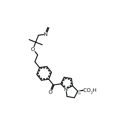 C=NCC(C)(C)OCCc1ccc(C(=O)c2ccc3n2CC[C@@H]3C(=O)O)cc1